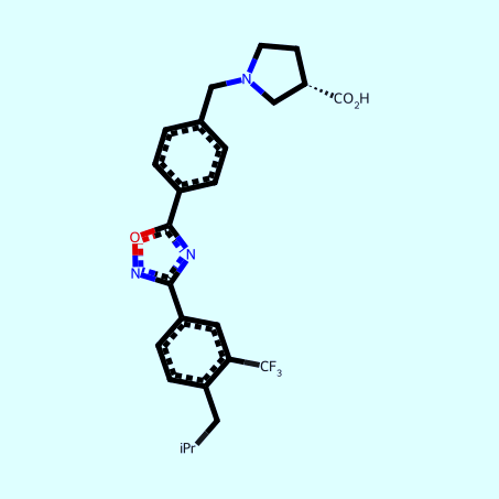 CC(C)Cc1ccc(-c2noc(-c3ccc(CN4CC[C@H](C(=O)O)C4)cc3)n2)cc1C(F)(F)F